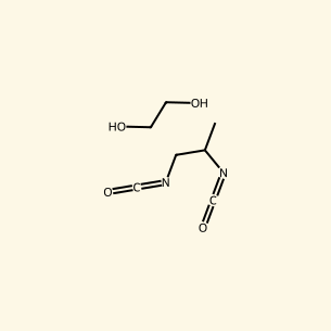 CC(CN=C=O)N=C=O.OCCO